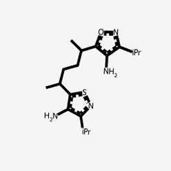 CC(C)c1noc(C(C)CCC(C)c2snc(C(C)C)c2N)c1N